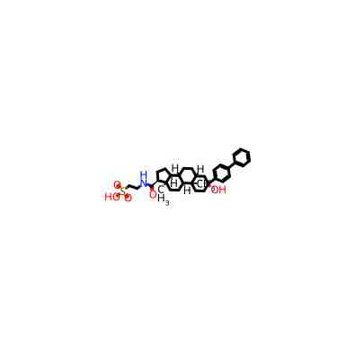 C[C@]12CC[C@](O)(c3ccc(-c4ccccc4)cc3)C[C@H]1CC[C@@H]1[C@@H]2CC[C@]2(C)[C@@H](C(=O)NCCS(=O)(=O)O)CC[C@@H]12